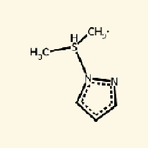 [CH2][SH](C)n1cccn1